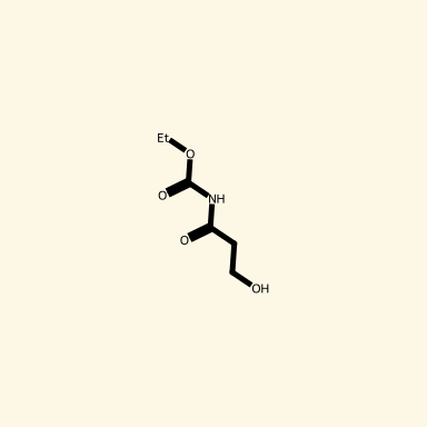 CCOC(=O)NC(=O)CCO